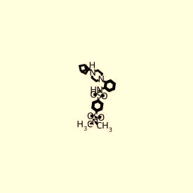 CN(C)S(=O)(=O)c1ccc(S(=O)(=O)Nc2ccccc2N2CCN([C@@H]3CC4CC3C4)CC2)cc1